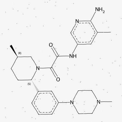 Cc1cc(NC(=O)C(=O)N2C[C@H](C)CC[C@H]2c2cccc(N3CCN(C)CC3)c2)cnc1N